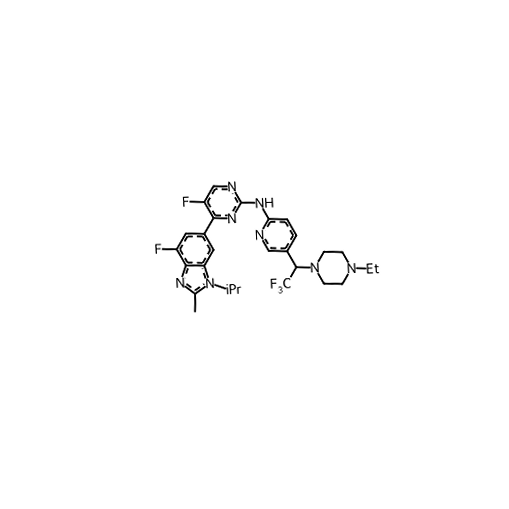 CCN1CCN(C(c2ccc(Nc3ncc(F)c(-c4cc(F)c5nc(C)n(C(C)C)c5c4)n3)nc2)C(F)(F)F)CC1